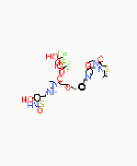 CCN(CCNCCc1ccc(O)c2[nH]c(=O)sc12)C(=O)CCOCCc1cccc(CCN2CCC3(CC2)CN(C(=O)c2csc(C(C)C)n2)CCO3)c1.O=C(O)C(F)(F)F.O=C(O)C(F)(F)F